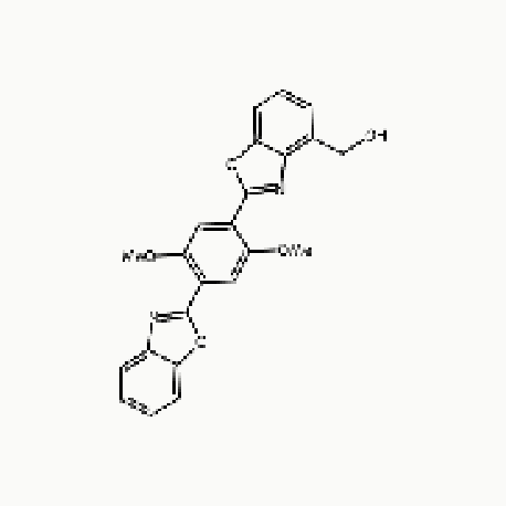 COc1cc(-c2nc3c(CO)cccc3o2)c(OC)cc1-c1nc2ccccc2o1